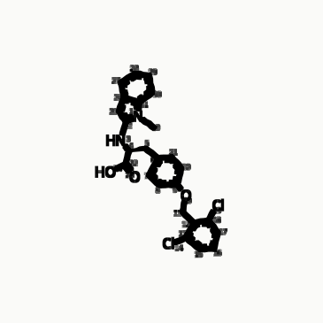 Cn1c(N[C@@H](Cc2ccc(OCc3c(Cl)cccc3Cl)cc2)C(=O)O)cc2ccccc21